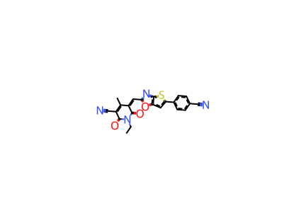 CCN1C(=O)C(C#N)=C(C)/C(=C/c2nc3sc(-c4ccc(C#N)cc4)cc3o2)C1=O